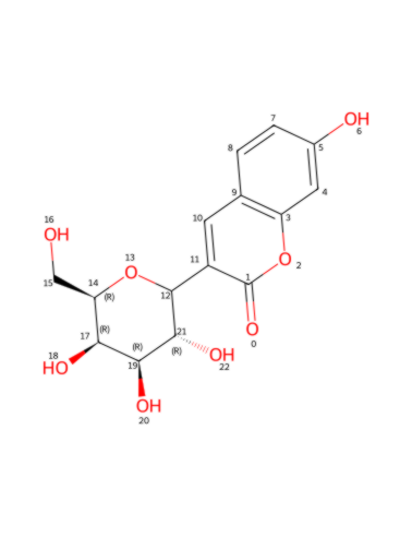 O=c1oc2cc(O)ccc2cc1C1O[C@H](CO)[C@H](O)[C@H](O)[C@H]1O